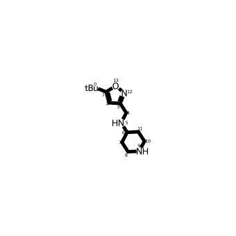 CC(C)(C)c1cc(CNC2CCNCC2)no1